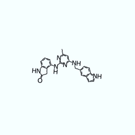 Cc1cc(NCc2ccc3[nH]ccc3c2)nc(Nc2cccc3c2CC(=O)N3)n1